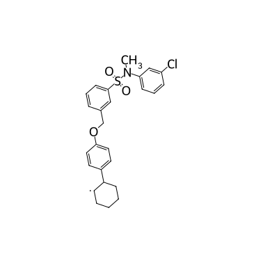 CN(c1cccc(Cl)c1)S(=O)(=O)c1cccc(COc2ccc(C3[CH]CCCC3)cc2)c1